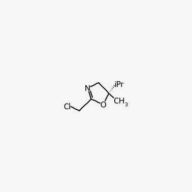 CC(C)[C@@]1(C)CN=C(CCl)O1